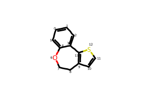 c1ccc2c(c1)OCCc1ccsc1-2